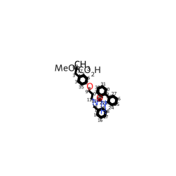 COC(C)(Cc1ccc(OCCCN(Cc2ccccc2)C(=O)Nc2ccccc2-c2ccccc2)cc1)C(=O)O